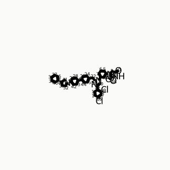 O=C1CN(c2cccc(-n3cc(-c4ccc(Cl)cc4Cl)nc3Cc3ccc(-c4ccc(N5CC[C@H](c6ccccc6)C5)cc4)cc3)c2)S(=O)(=O)N1